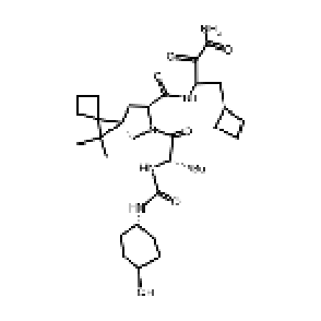 CC(C)(C)[C@H](NC(=O)N[C@H]1CC[C@H](O)CC1)C(=O)N1C[C@]2(C[C@H]1C(=O)NC(CC1CCC1)C(=O)C(N)=O)C(C)(C)C21CCC1